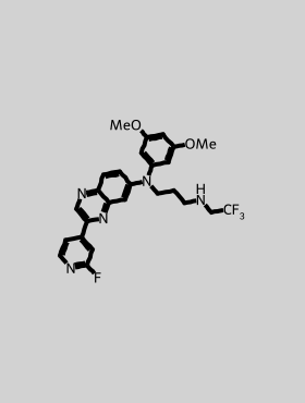 COc1cc(OC)cc(N(CCCNCC(F)(F)F)c2ccc3ncc(-c4ccnc(F)c4)nc3c2)c1